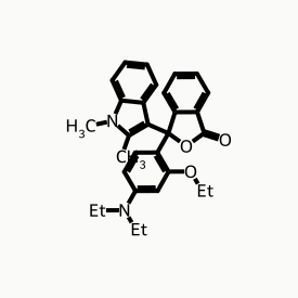 CCOc1cc(N(CC)CC)ccc1C1(c2c(C)n(C)c3ccccc23)OC(=O)c2ccccc21